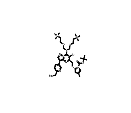 CC1=CN(C(=O)OC(C)(C)C)[C@@H](CCc2nc3c(-c4ccc(CO)nc4)cnn3c(N(COCC[Si](C)(C)C)COCC[Si](C)(C)C)c2Br)C1